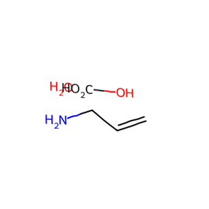 C=CCN.O.O=C(O)O